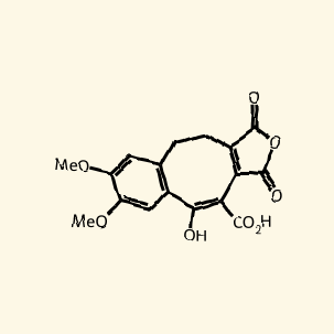 COc1cc2c(cc1OC)/C(O)=C(/C(=O)O)C1=C(CC2)C(=O)OC1=O